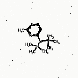 Cc1nccc(N([Si](C)(C)C)[Si](C)(C)C)n1